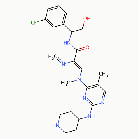 C=N/C(=C\N(C)c1nc(NC2CCNCC2)ncc1C)C(=O)NC(CO)c1cccc(Cl)c1